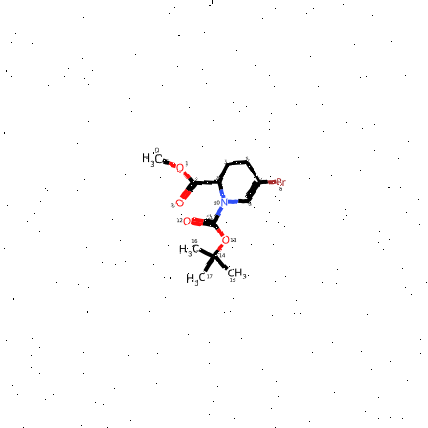 COC(=O)C1CCC(Br)=CN1C(=O)OC(C)(C)C